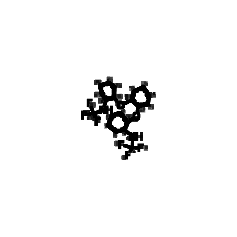 FC(F)(F)Nc1ccccc1Oc1ccccc1Oc1ccccc1NC(F)(F)F